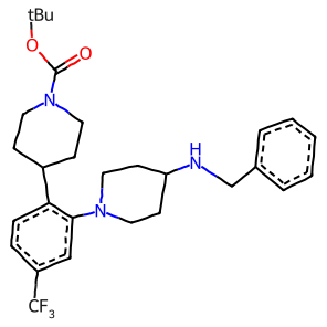 CC(C)(C)OC(=O)N1CCC(c2ccc(C(F)(F)F)cc2N2CCC(NCc3ccccc3)CC2)CC1